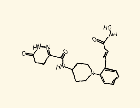 O=C(/C=C/c1ccccc1N1CCC(NC(=O)C2=NNC(=O)CC2)CC1)NO